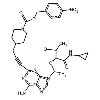 CC(O)[C@H](O[C@H](C)n1cnc2c(N)nc(C#CCC3CCN(C(=O)OCc4ccc([N+](=O)[O-])cc4)CC3)nc21)C(=O)NC1CC1